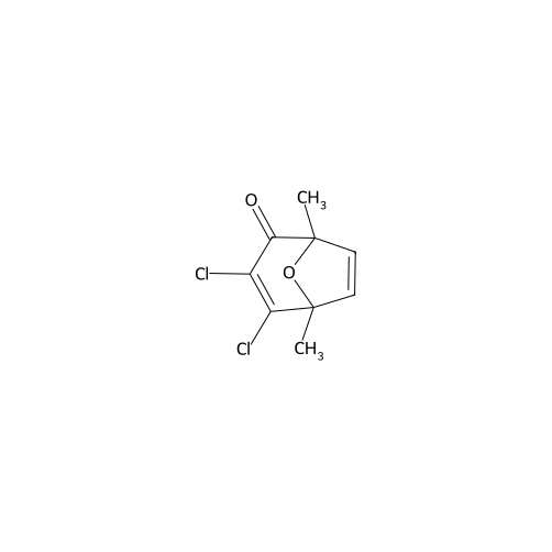 CC12C=CC(C)(O1)C(Cl)=C(Cl)C2=O